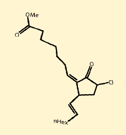 CCCCCC/C=C/C1CC(Cl)C(=O)/C1=C\CCCCCC(=O)OC